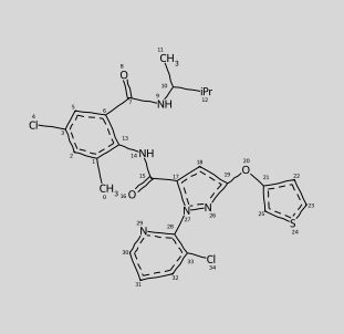 Cc1cc(Cl)cc(C(=O)NC(C)C(C)C)c1NC(=O)c1cc(Oc2ccsc2)nn1-c1ncccc1Cl